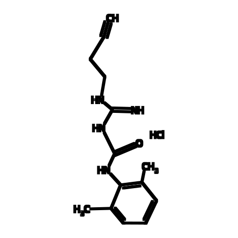 C#CCCNC(=N)NC(=O)Nc1c(C)cccc1C.Cl